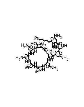 CC(C)CCCCCC(=O)N[C@@H](CCN)C(=O)N[C@@H](CO)C(=O)N[C@@H](CCN)C(=O)N[C@H]1CCNC(=O)[C@H]([C@@H](C)O)NC(=O)[C@H](CCN)NC(=O)[C@H](CCN)NC(=O)[C@H](CC(C)C)NC(=O)[C@@H](CC(C)C)NC(=O)[C@H](CCN)NC1=O